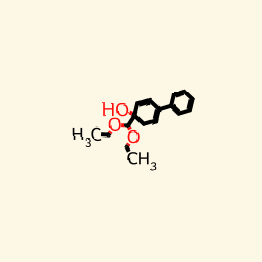 CCOC(OCC)C1(O)C=CC(c2ccccc2)=CC1